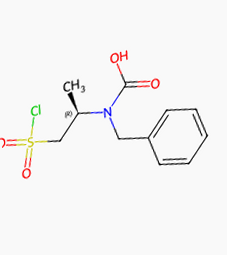 C[C@H](CS(=O)(=O)Cl)N(Cc1ccccc1)C(=O)O